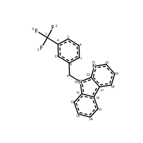 FC(F)(F)c1cccc(Cn2c3ccccc3c3cccnc32)c1